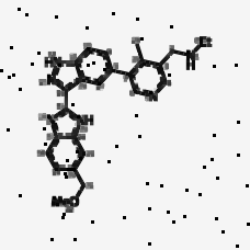 CCNCc1cncc(-c2ccc3[nH]nc(-c4nc5ccc(COC)cc5[nH]4)c3c2)c1C